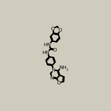 NC1=c2ccoc2=NCN1c1ccc(NC(=O)Nc2ccc3c(c2)OCO3)cc1